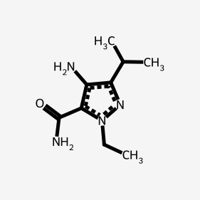 CCn1nc(C(C)C)c(N)c1C(N)=O